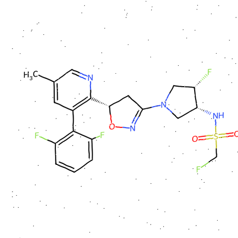 Cc1cnc([C@@H]2CC(N3C[C@H](F)[C@H](NS(=O)(=O)CF)C3)=NO2)c(-c2c(F)cccc2F)c1